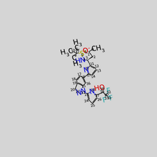 CCC[C@H](N[S+]([O-])C(C)(C)C)c1cccc(-c2ccc3cnn(-c4cccc([C@H](O)C(F)(F)F)n4)c3c2)n1